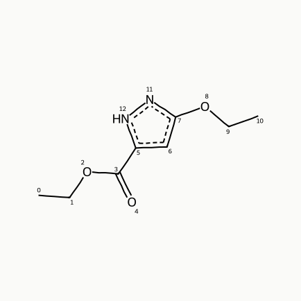 CCOC(=O)c1cc(OCC)n[nH]1